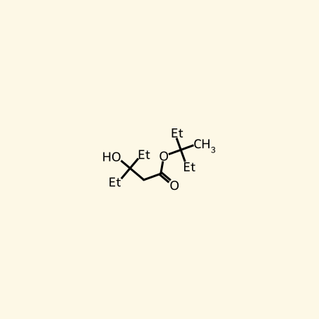 CCC(O)(CC)CC(=O)OC(C)(CC)CC